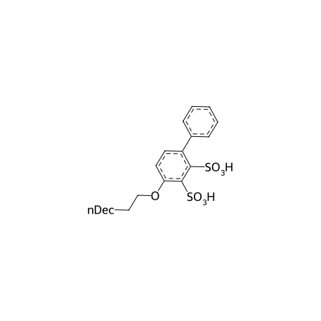 CCCCCCCCCCCCOc1ccc(-c2ccccc2)c(S(=O)(=O)O)c1S(=O)(=O)O